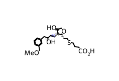 COCc1cccc(C[C@H](O)/C=C/[C@H]2[C@@H](O)CO[C@@H]2CCSCCCC(=O)O)c1